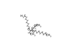 CCCCCCCCOC(CC)=C(OCCCCCCCC)OCOC